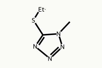 C[CH]Sc1nnnn1C